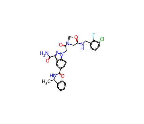 CC(NC(=O)c1ccc2c(c1)c(C(N)=O)nn2CC(=O)N(CC(=O)NCc1cccc(Cl)c1F)C(C)C)c1ccccc1